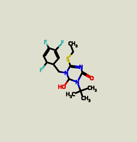 CCSC1=NC(=O)N(C(C)(C)C)C(O)N1CC1C=C(F)C(F)=CC1F